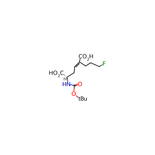 CC(C)(C)OC(=O)N[C@@H](CC=C(CCCF)C(=O)O)C(=O)O